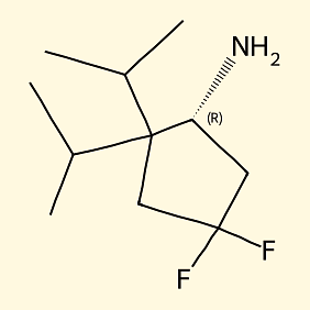 CC(C)C1(C(C)C)CC(F)(F)C[C@H]1N